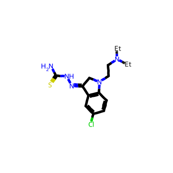 CCN(CC)CCN1C/C(=N\NC(N)=S)c2cc(Cl)ccc21